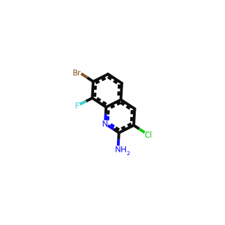 Nc1nc2c(F)c(Br)ccc2cc1Cl